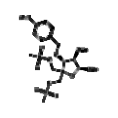 COc1ccc(CO[C@H]2[C@@H](OC)[C@@H](OC)OC2(COS(C)(=O)=O)COS(C)(=O)=O)cc1